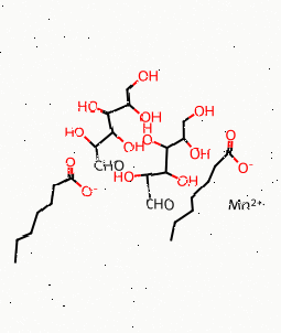 CCCCCCC(=O)[O-].CCCCCCC(=O)[O-].O=CC(O)C(O)C(O)C(O)CO.O=CC(O)C(O)C(O)C(O)CO.[Mn+2]